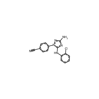 N#Cc1ccc(-n2nc(N)nc2Nc2ccccc2Cl)cc1